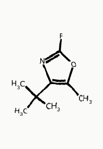 Cc1oc(F)nc1C(C)(C)C